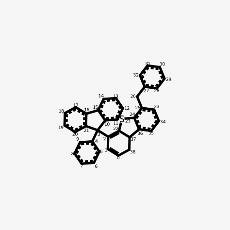 C1=CC(C2(c3ccccc3)c3ccccc3-c3ccccc32)=C2Sc3c(Cc4ccccc4)cccc3C2C1